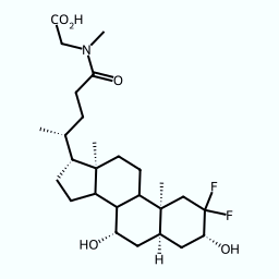 C[C@H](CCC(=O)N(C)CC(=O)O)[C@H]1CCC2C3C(CC[C@@]21C)[C@@]1(C)CC(F)(F)[C@H](O)C[C@H]1C[C@@H]3O